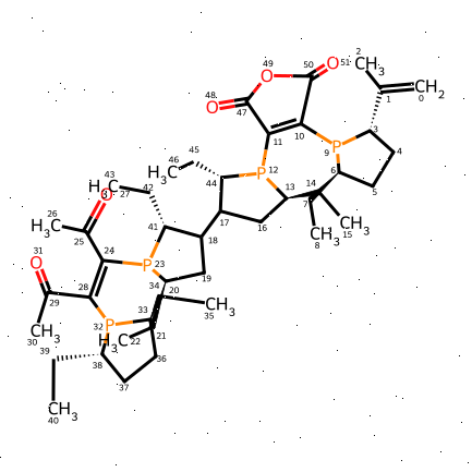 C=C(C)[C@@H]1CC[C@@H](CC)P1C1=C(P2[C@@H](CC)CC(C3C[C@@H](CC)P(/C(C(C)=O)=C(/C(C)=O)P4[C@@H](CC)CC[C@@H]4CC)[C@@H]3CC)[C@@H]2CC)C(=O)OC1=O